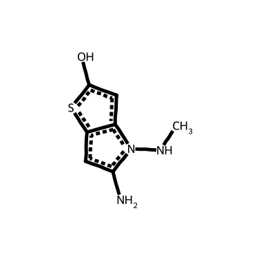 CNn1c(N)cc2sc(O)cc21